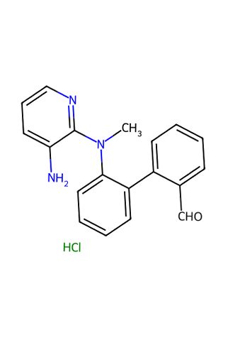 CN(c1ccccc1-c1ccccc1C=O)c1ncccc1N.Cl